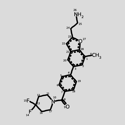 Cc1cc(-c2ccc(C(=O)N3CCC(F)(F)CC3)cc2)cc2cc(CCN)oc12